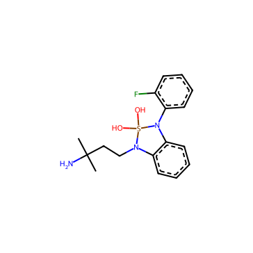 CC(C)(N)CCN1c2ccccc2N(c2ccccc2F)S1(O)O